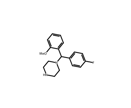 COc1ccccc1C(c1ccc(F)cc1)N1CCNCC1